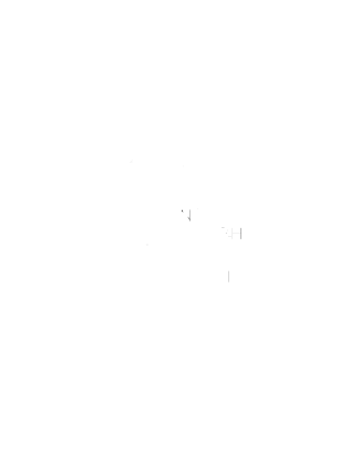 IBN1CCCC1